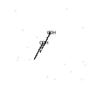 CCC.CCCCCCCCCCCCCCCC(=O)O.CCCCCCCCCCCCCCCC(=O)O